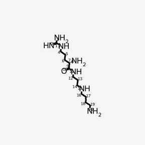 N=C(N)NCCC[C@H](N)C(=O)NCCCNCCCCN